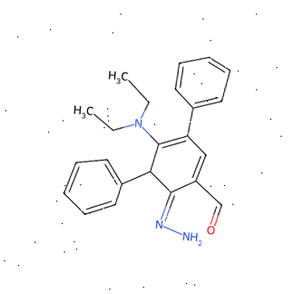 CCN(CC)C1=C(c2ccccc2)C=C(C=O)C(=NN)C1c1ccccc1